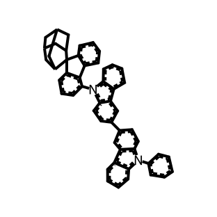 c1ccc(-n2c3ccccc3c3cc(-c4ccc5c(c4)c4ccccc4n5-c4cccc5c4-c4ccccc4C54C5CC6CC(C5)CC4C6)ccc32)cc1